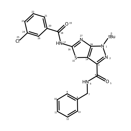 CC(C)(C)n1nc(C(=O)NCc2ccccc2)c2sc(NC(=O)c3cccc(Cl)c3)nc21